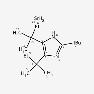 CCC(C)(C)c1nc(C(C)(C)C)[nH]c1C(C)(C)CC.[SrH2]